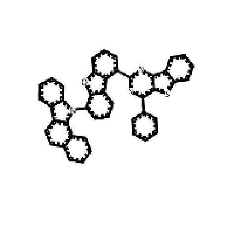 c1ccc(-c2nc(-c3cccc4oc5c(-n6c7ccccc7c7ccc8ccccc8c76)cccc5c34)nc3c2sc2ccccc23)cc1